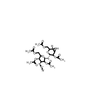 CC(=O)OCC1O[C@@H](S[C@@H]2OC(COC(C)=O)[C@H](OC(C)=O)C(N=[N+]=[N-])C2OC(C)=O)C(OC(C)=O)C2N[C@@H]12